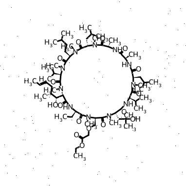 C/C=C/C[C@@H](C)[C@@H](O)[C@H]1C(=O)N[C@H](CC)C(=O)N(C)[C@H](COCC(=O)OCC)C(=O)N(C)[C@@H](CC(C)(C)O)C(=O)N[C@H](C(C)C)C(=O)N(C)[C@H](CC(C)C)C(=O)N[C@H](C)C(=O)N[C@@H](C)C(=O)N(C)[C@@H](CC(C)C)C(=O)N(C)[C@H](CCC(C)C)C(=O)N(C)[C@H](C(C)C)C(=O)N1C